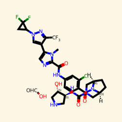 Cn1c(-c2cn(C3CC3(F)F)nc2C(F)(F)F)cnc1C(=O)Nc1ccc(C(=O)N2[C@@H]3CC[C@H]2CN(C(=O)N[C@H]2CNC[C@@H]2O)C3)c(Cl)c1.O=CO